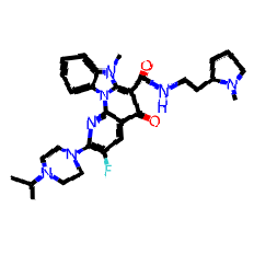 CC(C)N1CCN(c2nc3c(cc2F)c(=O)c(C(=O)NCCC2CCCN2C)c2n(C)c4ccccc4n32)CC1